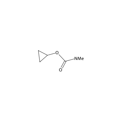 [CH2]NC(=O)OC1CC1